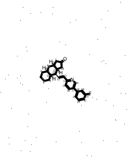 O=C1C[C@H]2C[C@@H]3CCCC[C@H]3[C@H](/C=C/c3ccc(-c4cccc(F)c4)cn3)[C@H]2C1